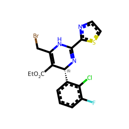 CCOC(=O)C1=C(CBr)NC(c2nccs2)=N[C@@H]1c1cccc(F)c1Cl